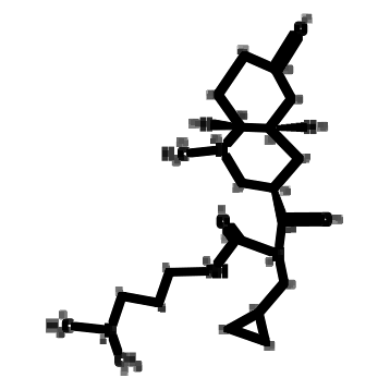 CN(C)CCCNC(=O)N(CC1CC1)C(=O)[C@@H]1C[C@@H]2CC(=O)CC[C@H]2N(C)C1